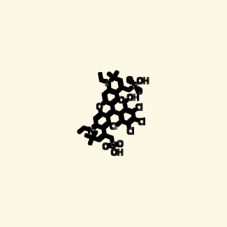 CC/N=c1\cc2oc3cc4c(cc3c(-c3c(Cl)c(Cl)c(Cl)c(Cl)c3C(=O)O)c-2cc1/C(=C\C(C)(C)C)CS(=O)(=O)O)C(CS(=O)(=O)O)=CC(C)(C)N4CC